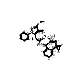 COc1nn(-c2ccccc2)c(NC(=O)NC2c3ccccc3C3(CC3)C[C@H]2O)c1C